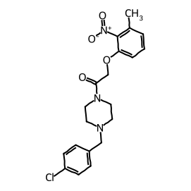 Cc1cccc(OCC(=O)N2CCN(Cc3ccc(Cl)cc3)CC2)c1[N+](=O)[O-]